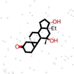 CC[C@]12C[C@](C)(O)C3C(CC[C@@]45CC(=O)CCC4C35)C1CC[C@@H]2O